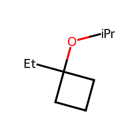 CCC1(OC(C)C)CCC1